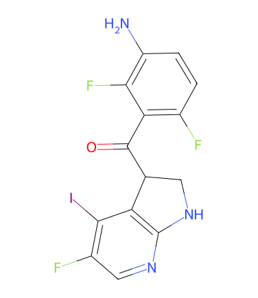 Nc1ccc(F)c(C(=O)C2CNc3ncc(F)c(I)c32)c1F